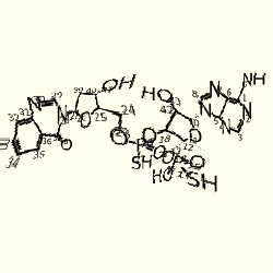 Nc1ncnc2c1ncn2[C@@H]1O[C@H](OP(=O)(O)S)C(OP(=O)(S)OC[C@H]2O[C@@H](n3cnc4ccccc4c3=O)C[C@@H]2O)C1O